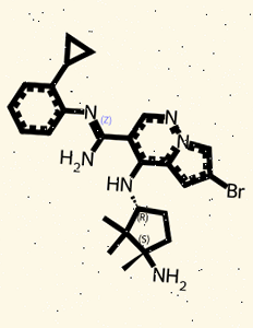 CC1(C)[C@H](Nc2c(/C(N)=N/c3ccccc3C3CC3)cnn3cc(Br)cc23)CC[C@]1(C)N